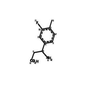 Cc1ccc(C(N)CC(=O)O)cc1F